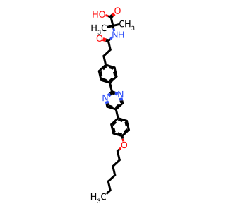 CCCCCCCOc1ccc(-c2cnc(-c3ccc(CCC(=O)NC(C)(C)C(=O)O)cc3)nc2)cc1